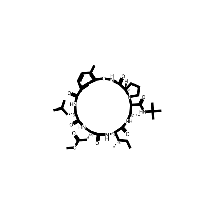 CC[C@H](C)[C@@H]1NC(=O)[C@H](CC(=O)OC)NC(=O)[C@H](CC(C)C)NC(=O)c2ccc(C)c(c2)CNC(=O)[C@@H]2CCCN2C(C(=O)NC(C)(C)C)[C@H](C)NC1=O